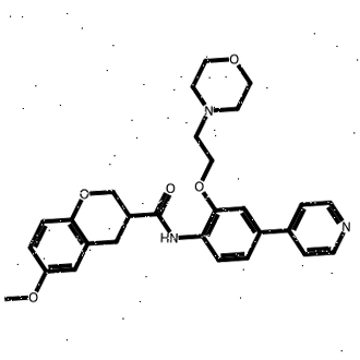 COc1ccc2c(c1)CC(C(=O)Nc1ccc(-c3ccncc3)cc1OCCN1CCOCC1)CO2